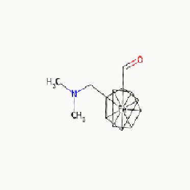 CN(C)C[C]12[CH]3[CH]4[CH]5[C]1(C=O)[Fe]45321678[CH]2[CH]1[CH]6[CH]7[CH]28